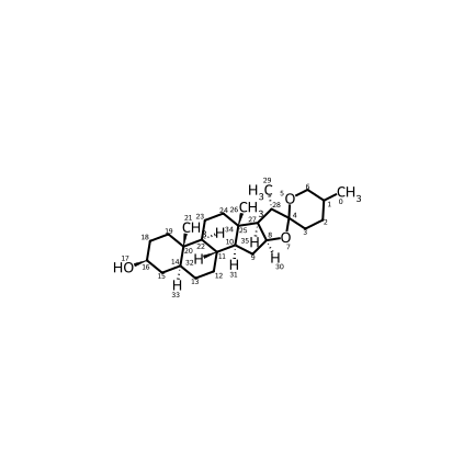 CC1CCC2(OC1)O[C@H]1C[C@H]3[C@@H]4CC[C@H]5C[C@@H](O)CC[C@]5(C)[C@H]4CC[C@]3(C)[C@H]1[C@@H]2C